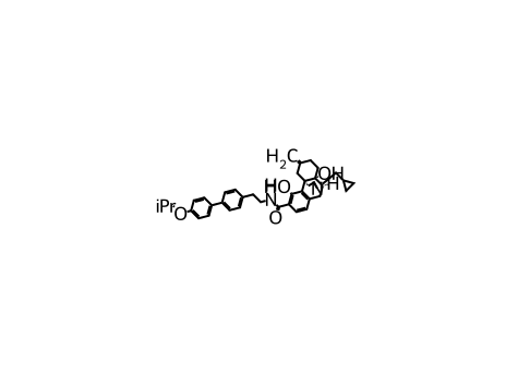 C=C1CC[C@@]2(O)[C@H]3Cc4ccc(C(=O)NCCc5ccc(-c6ccc(OC(C)C)cc6)cc5)c(O)c4[C@@]2(CCN3CC2CC2)C1